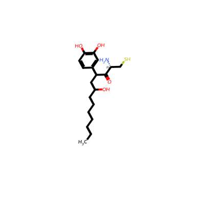 CCCCCCCC(O)CC(C(=O)[C@H](N)CS)c1ccc(O)c(O)c1